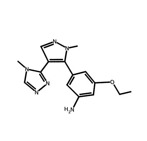 CCOc1cc(N)cc(-c2c(-c3nncn3C)cnn2C)c1